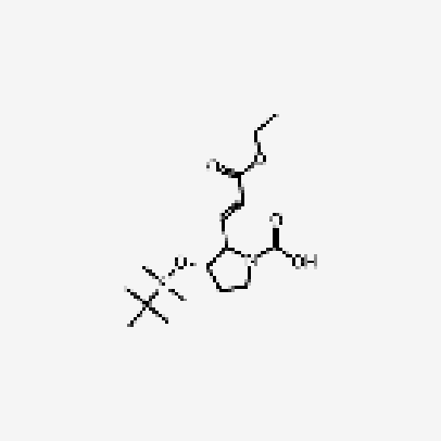 CCOC(=O)/C=C/[C@@H]1[C@@H](O[Si](C)(C)C(C)(C)C)CCN1C(=O)O